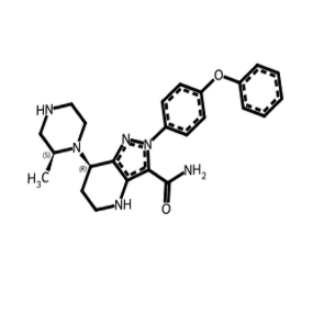 C[C@H]1CNCCN1[C@@H]1CCNc2c1nn(-c1ccc(Oc3ccccc3)cc1)c2C(N)=O